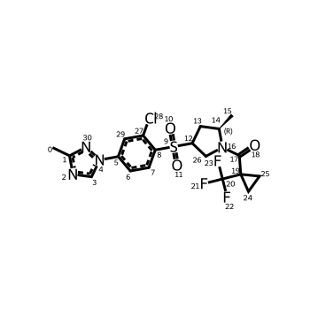 Cc1ncn(-c2ccc(S(=O)(=O)C3C[C@@H](C)N(C(=O)C4(C(F)(F)F)CC4)C3)c(Cl)c2)n1